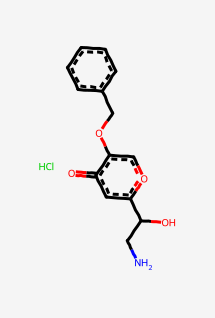 Cl.NCC(O)c1cc(=O)c(OCc2ccccc2)co1